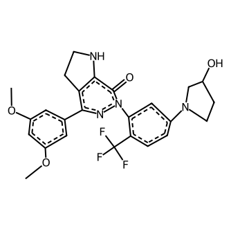 COc1cc(OC)cc(-c2nn(-c3cc(N4CCC(O)C4)ccc3C(F)(F)F)c(=O)c3c2CCN3)c1